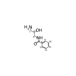 NCC(O)CNC(=O)c1ccccc1